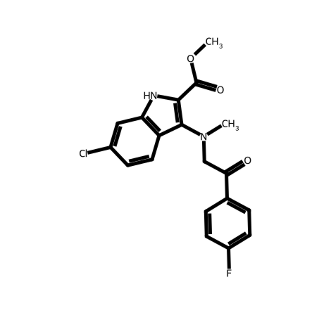 COC(=O)c1[nH]c2cc(Cl)ccc2c1N(C)CC(=O)c1ccc(F)cc1